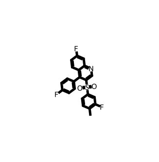 Cc1ccc(S(=O)(=O)c2cnc3cc(F)ccc3c2-c2ccc(F)cc2)cc1F